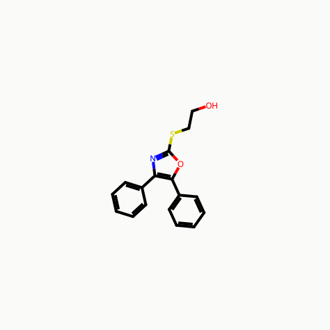 OCCSc1nc(-c2ccccc2)c(-c2ccccc2)o1